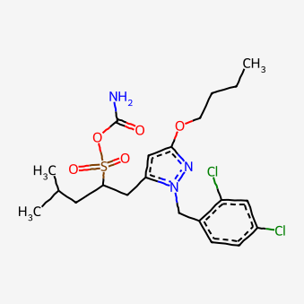 CCCCOc1cc(CC(CC(C)C)S(=O)(=O)OC(N)=O)n(Cc2ccc(Cl)cc2Cl)n1